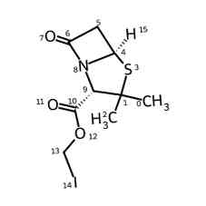 CC1(C)S[C@@H]2CC(=O)N2[C@H]1C(=O)OCI